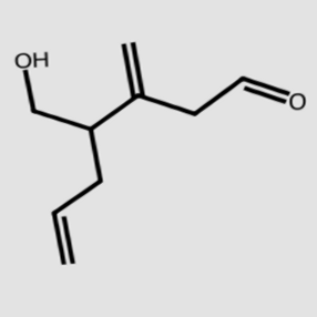 C=CCC(CO)C(=C)CC=O